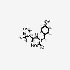 O=C(O)[C@H](Cc1ccc(O)cc1)NC(=O)[C@@H](CS)C(F)(F)F